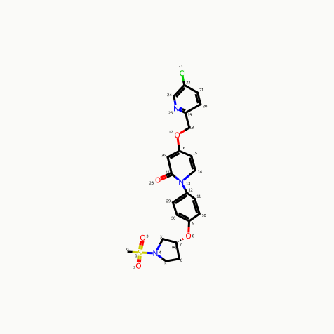 CS(=O)(=O)N1CC[C@@H](Oc2ccc(-n3ccc(OCc4ccc(Cl)cn4)cc3=O)cc2)C1